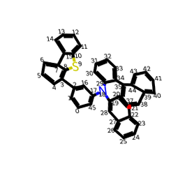 c1cc(-c2cccc3c2sc2ccccc23)cc(N(c2ccc3ccccc3c2)c2ccccc2-c2cccc3ccccc23)c1